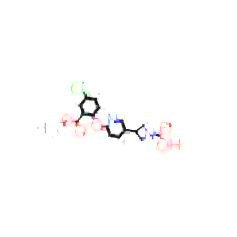 COC(=O)c1cc(Cl)ccc1Oc1ccc(C2CN(C(=O)O)C2)cn1